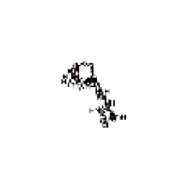 CC[C@H](C)[C@@H]1NC(=O)[C@H](CC(C)C)NC(=O)C2(CCOCC2)NC(=O)CCSCc2cccc(n2)CSC[C@@H](C(=O)NC2CCN(CC(=O)N[C@@H](CCCCNC(=O)CN3CCN(CC(=O)O)CCN(CC(=O)O)CCN(CC(=O)O)CC3)C(N)=O)CC2)NC1=O